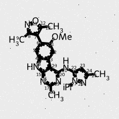 COc1cc2c(cc1-c1c(C)noc1C)[nH]c1nc(C)nc(Nc3cc(C)nn3C(C)C)c12